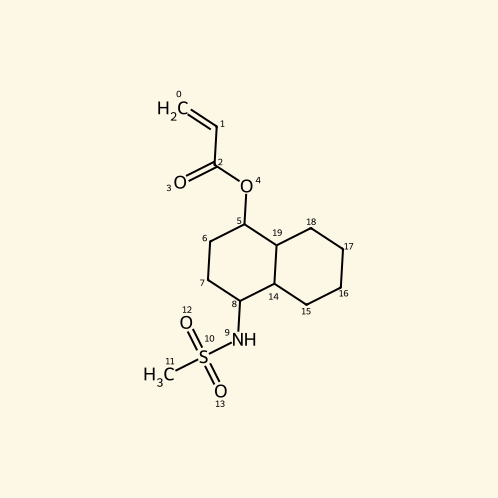 C=CC(=O)OC1CCC(NS(C)(=O)=O)C2CCCCC12